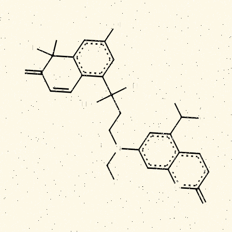 CCN(CCC(C)(C)c1cc(O)cc2c1C=CC(=O)C2(F)F)c1cc(C(C)C)c2ccc(=O)oc2c1